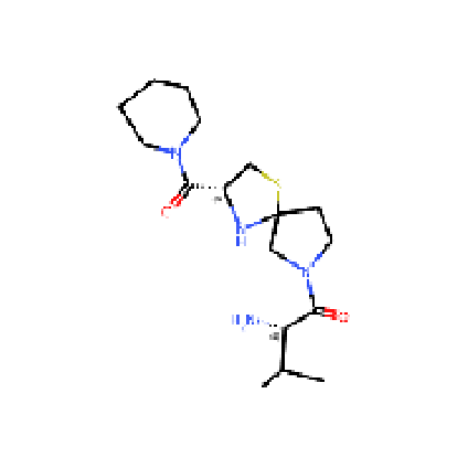 CC(C)[C@H](N)C(=O)N1CCC2(C1)N[C@H](C(=O)N1CCCCC1)CS2